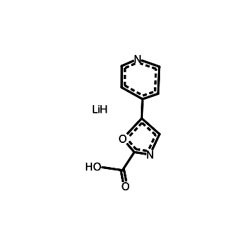 O=C(O)c1ncc(-c2ccncc2)o1.[LiH]